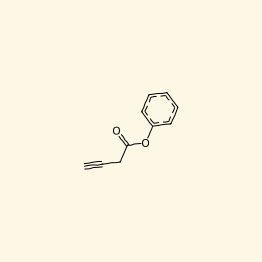 C#CCC(=O)Oc1ccccc1